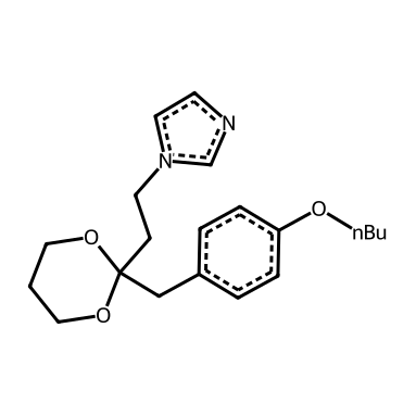 CCCCOc1ccc(CC2(CCn3ccnc3)OCCCO2)cc1